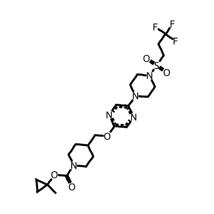 CC1(OC(=O)N2CCC(COc3cnc(N4CCN(S(=O)(=O)CCC(F)(F)F)CC4)cn3)CC2)CC1